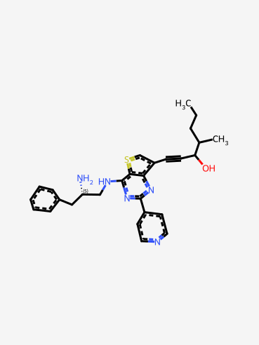 CCCC(C)C(O)C#Cc1csc2c(NC[C@@H](N)Cc3ccccc3)nc(-c3ccncc3)nc12